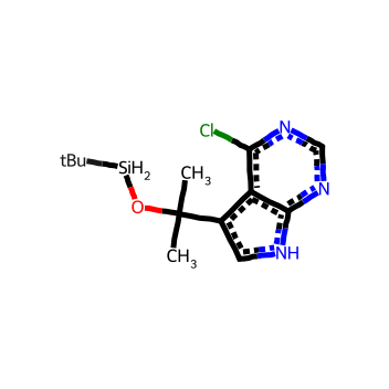 CC(C)(C)[SiH2]OC(C)(C)c1c[nH]c2ncnc(Cl)c12